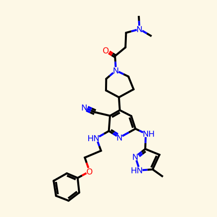 Cc1cc(Nc2cc(C3CCN(C(=O)CCN(C)C)CC3)c(C#N)c(NCCOc3ccccc3)n2)n[nH]1